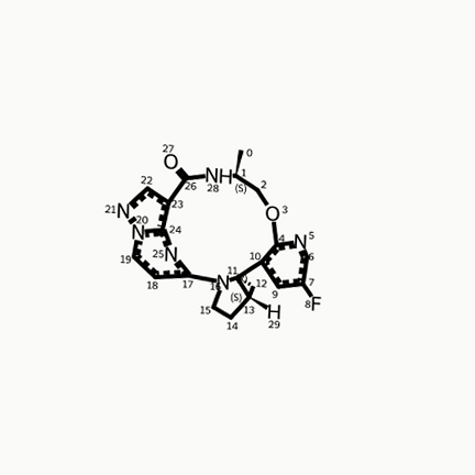 C[C@H]1COc2ncc(F)cc2[C@@]23C[C@@H]2CCN3c2ccn3ncc(c3n2)C(=O)N1